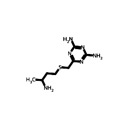 CC(N)CCSCc1nc(N)nc(N)n1